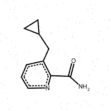 NC(=O)c1ncccc1CC1CC1